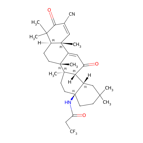 CC1(C)CC[C@]2(NC(=O)CC(F)(F)F)CC[C@]3(C)[C@H](C(=O)C=C4[C@@]5(C)C=C(C#N)C(=O)C(C)(C)[C@@H]5CC[C@]43C)[C@@H]2C1